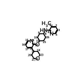 Cc1cccnc1NC1CCC(Oc2ncccc2C2CCOCC2)CC1